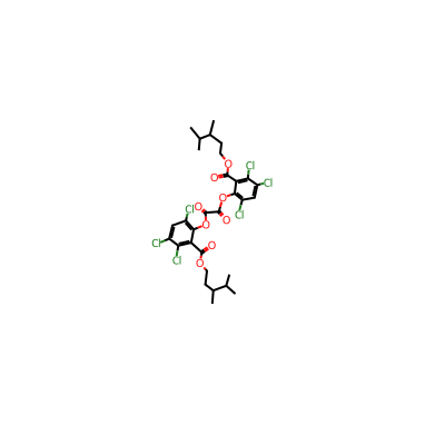 CC(C)C(C)CCOC(=O)c1c(Cl)c(Cl)cc(Cl)c1OC(=O)C(=O)Oc1c(Cl)cc(Cl)c(Cl)c1C(=O)OCCC(C)C(C)C